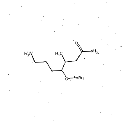 CCCCOC(CCCN)C(C)CC(N)=O